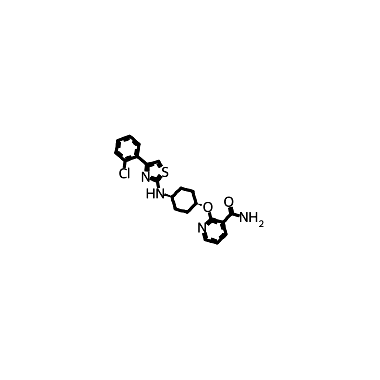 NC(=O)c1cccnc1O[C@H]1CC[C@H](Nc2nc(-c3ccccc3Cl)cs2)CC1